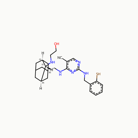 N#Cc1cnc(NCc2ccccc2S)nc1NC[C@@]12CC3C[C@H](C1)[C@@H](NCCO)[C@@H](C3)C2